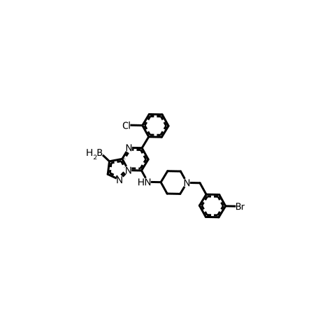 Bc1cnn2c(NC3CCN(Cc4cccc(Br)c4)CC3)cc(-c3ccccc3Cl)nc12